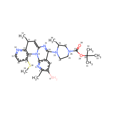 Bc1cc2c(nc1C)N1C(=CC(C)c3nccc(SC)c31)N=C2N1CCN(C(=O)OC(C)(C)C)CC1C